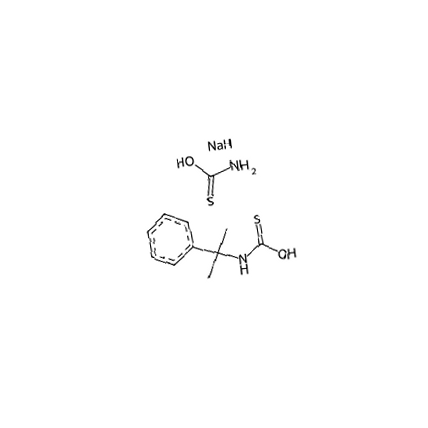 CC(C)(NC(O)=S)c1ccccc1.NC(O)=S.[NaH]